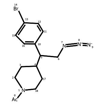 CC(=O)N1CCC(C(CN=[N+]=[N-])c2ccc(Br)cc2)CC1